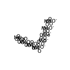 [Na+].[O]=[Mo](=[O])([O-])[O-].[O]=[Mo](=[O])([O-])[O-].[O]=[Mo](=[O])([O-])[O-].[O]=[Mo](=[O])([O-])[O-].[O]=[Mo](=[O])([O-])[O-].[O]=[Mo](=[O])([O-])[O-].[O]=[Mo](=[O])([O-])[O-].[O]=[Mo](=[O])([O-])[O-]